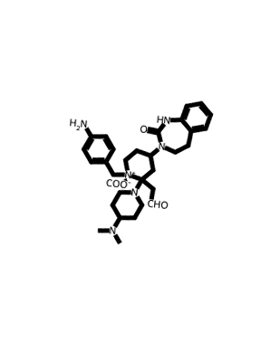 CN(C)C1CCN(C2(CC=O)CC(N3CCc4ccccc4NC3=O)CC[N@+]2(Cc2ccc(N)cc2)C(=O)[O-])CC1